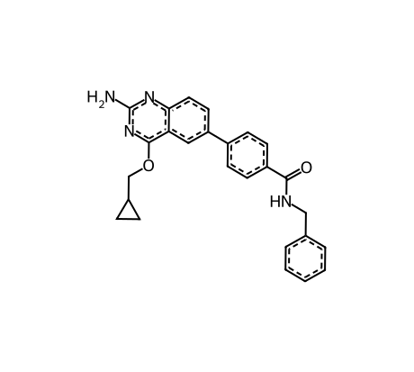 Nc1nc(OCC2CC2)c2cc(-c3ccc(C(=O)NCc4ccccc4)cc3)ccc2n1